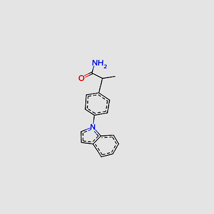 CC(C(N)=O)c1ccc(-n2ccc3ccccc32)cc1